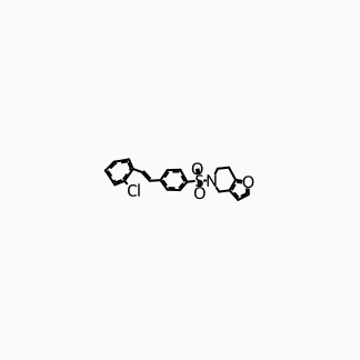 O=S(=O)(c1ccc(/C=C/c2ccccc2Cl)cc1)N1CCc2occc2C1